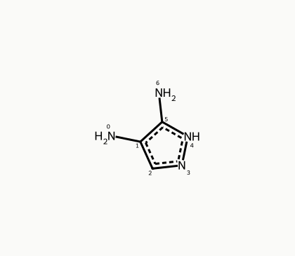 Nc1cn[nH]c1N